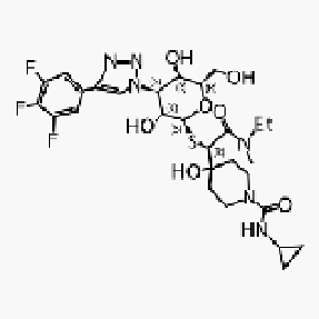 CCN(C)C(=O)[C@H](S[C@@H]1O[C@H](CO)[C@H](O)[C@H](n2cc(-c3cc(F)c(F)c(F)c3)nn2)[C@H]1O)C1(O)CCN(C(=O)NC2CC2)CC1